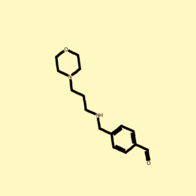 O=Cc1ccc(CNCCCN2CCOCC2)cc1